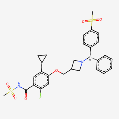 CS(=O)(=O)NC(=O)c1cc(C2CC2)c(OCC2CN([C@@H](c3ccccc3)c3ccc(S(C)(=O)=O)cc3)C2)cc1F